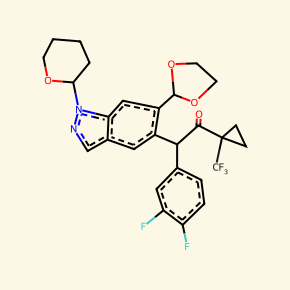 O=C(C(c1ccc(F)c(F)c1)c1cc2cnn(C3CCCCO3)c2cc1C1OCCO1)C1(C(F)(F)F)CC1